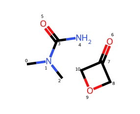 CN(C)C(N)=O.O=C1COC1